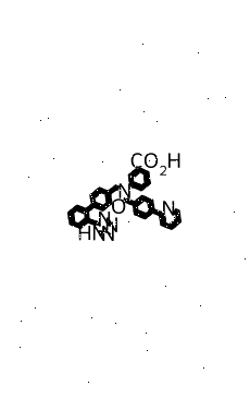 O=C(O)c1cccc(N(Cc2ccc(-c3ccccc3-c3nnn[nH]3)cc2)C(=O)c2ccc(-c3ccccn3)cc2)c1